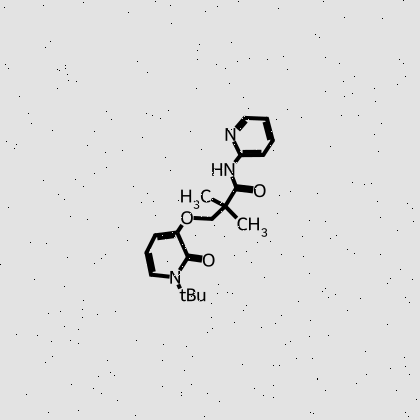 CC(C)(COc1cccn(C(C)(C)C)c1=O)C(=O)Nc1ccccn1